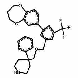 FC(F)(F)c1cc(COCC2(c3ccccc3)CCNCC2)cc(-c2ccc3c(c2)OCCCO3)c1